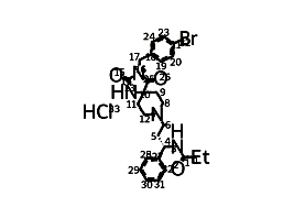 CCC(=O)N[C@@H](CCN1CCC2(CC1)NC(=O)N(Cc1ccc(Br)cc1)C2=O)c1ccccc1.Cl